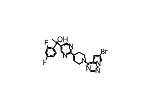 C[C@@](O)(c1cnc(C2=CCN(c3ncnn4cc(Br)cc34)CC2)nc1)c1ccc(F)cc1F